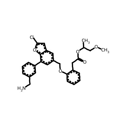 COCC(C)OC(=O)Cc1ccccc1OCc1cc(-c2cccc(CN)c2)c2oc(Cl)cc2c1